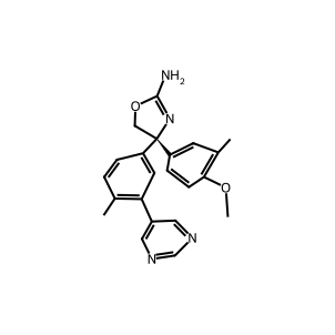 COc1ccc([C@@]2(c3ccc(C)c(-c4cncnc4)c3)COC(N)=N2)cc1C